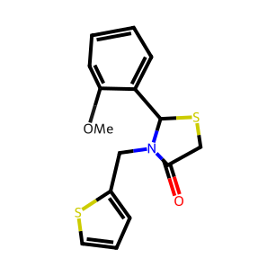 COc1ccccc1C1SCC(=O)N1Cc1cccs1